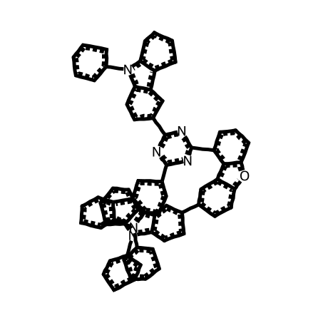 c1ccc(-n2c3ccccc3c3cc(-c4ccc5oc6cccc(-c7nc(-c8ccc9c(c8)c8ccccc8n9-c8ccccc8)nc(-c8ccc9c(c8)c8ccccc8n9-c8ccccc8)n7)c6c5c4)ccc32)cc1